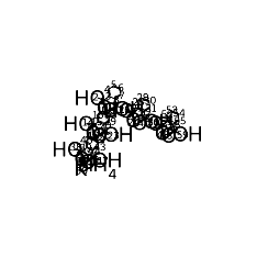 O=C(O)c1ccccc1C(=O)O.O=C(O)c1ccccc1C(=O)O.O=C(O)c1ccccc1C(=O)O.O=C(O)c1ccccc1C(=O)O.O=C([O-])c1ccccc1C(=O)O.[K+].[SiH4]